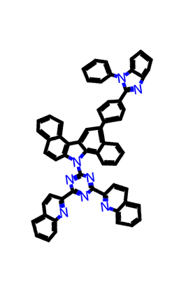 c1ccc(-n2c(-c3ccc(-c4cc5c6c7ccccc7ccc6n(-c6nc(-c7ccc8ccccc8n7)nc(-c7ccc8ccccc8n7)n6)c5c5ccccc45)cc3)nc3ccccc32)cc1